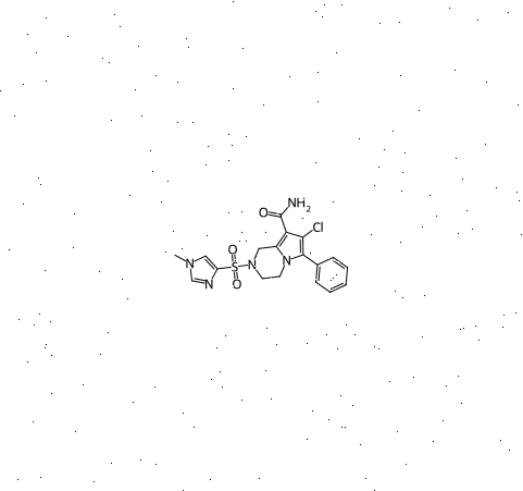 Cn1cnc(S(=O)(=O)N2CCn3c(c(C(N)=O)c(Cl)c3-c3ccccc3)C2)c1